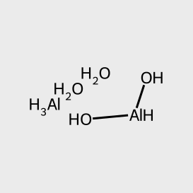 O.O.[AlH3].[OH][AlH][OH]